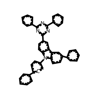 c1ccc(-c2ccc(-n3c4ccc(-c5ccccc5)cc4c4cc(-c5nc(-c6ccccc6)nc(-c6ccccc6)n5)ccc43)cc2)cc1